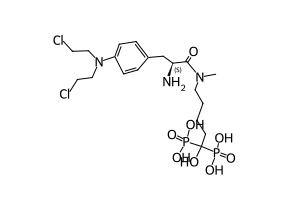 CN(CCCCC(O)(P(=O)(O)O)P(=O)(O)O)C(=O)[C@@H](N)Cc1ccc(N(CCCl)CCCl)cc1